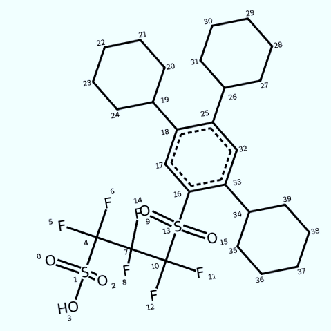 O=S(=O)(O)C(F)(F)C(F)(F)C(F)(F)S(=O)(=O)c1cc(C2CCCCC2)c(C2CCCCC2)cc1C1CCCCC1